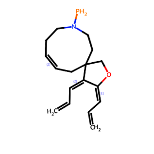 C=C/C=C1\C(=C/C=C)OCC12C/C=C\CCN(P)CC2